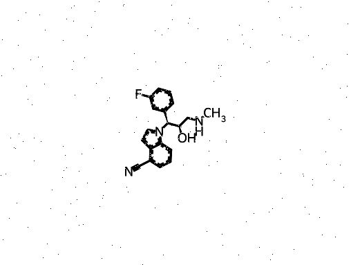 CNC[C@@H](O)[C@H](c1cccc(F)c1)n1ccc2c(C#N)cccc21